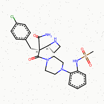 CS(=O)(=O)Nc1ccccc1N1CCN(C(=O)[C@@](Cc2ccc(Cl)cc2)(C(N)=O)[C@H]2CCN2)CC1